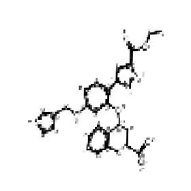 CCOC(=O)c1cc(-c2ccc(OCc3ccsc3)cc2O[C@@H](CCC(=O)O)c2ccccc2C)n[nH]1